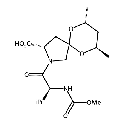 COC(=O)N[C@H](C(=O)N1CC2(C[C@H]1C(=O)O)O[C@H](C)C[C@@H](C)O2)C(C)C